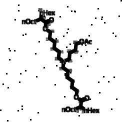 CCCCCCCCC(CCCCCC)C(=O)OCCCCCCN(CCCCCCOC(=O)C(CCCCCC)CCCCCCCC)CCCCOC(C)=O